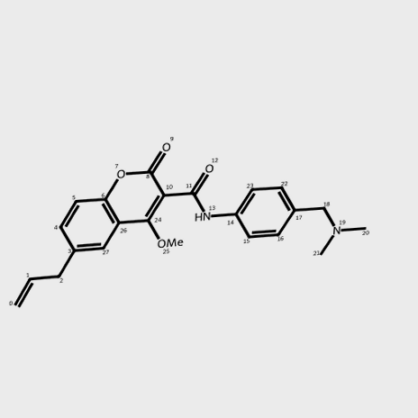 C=CCc1ccc2oc(=O)c(C(=O)Nc3ccc(CN(C)C)cc3)c(OC)c2c1